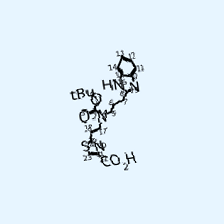 CC(C)(C)OC(=O)N(CCCc1nc2ccccc2[nH]1)CCc1nc(C(=O)O)cs1